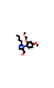 CCCCc1ncc(C=O)n1-c1ccc(OC)cc1OCOC